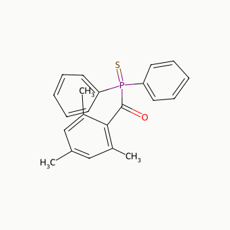 Cc1cc(C)c(C(=O)P(=S)(c2ccccc2)c2ccccc2)c(C)c1